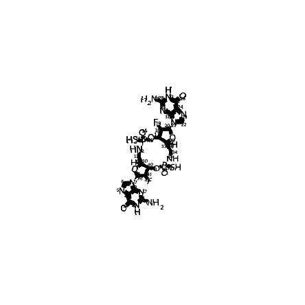 Nc1nc2c(ncn2[C@@H]2O[C@@H]3CNP(=O)(S)OC4C(F)[C@H](n5cnc6c(=O)[nH]c(N)nc65)O[C@@H]4CNP(=O)(S)OC3C2F)c(=O)[nH]1